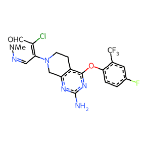 CN/N=C\C(=C(\Cl)C=O)N1CCc2c(nc(N)nc2Oc2ccc(F)cc2C(F)(F)F)C1